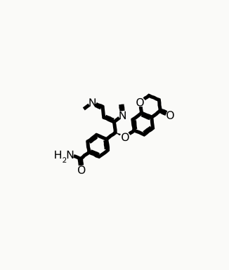 C=N/C(=C\C=N/C)[C@H](Oc1ccc2c(c1)OCCC2=O)c1ccc(C(N)=O)cc1